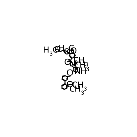 COCCCOc1cc(C(=O)N(CC2CNCC2OCc2cccc(-c3ccccc3OC(C)C)c2)C(C)C)ccc1OC